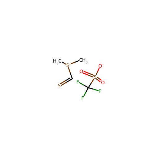 C[S+](C)C=S.O=S(=O)([O-])C(F)(F)F